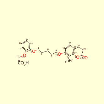 CCCc1c(OCCCCCOc2ccccc2OCC(=O)O)ccc2c1OC(=O)CC2